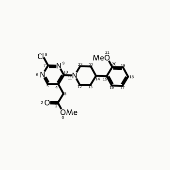 COC(=O)Cc1cnc(Cl)nc1N1CCC(c2ccccc2OC)CC1